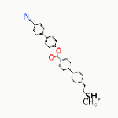 C[SiH2]CC[C@H]1CC[C@H]([C@H]2CC[C@H](C(=O)Oc3ccc(-c4ccc(C#N)cc4)cc3)CC2)CC1